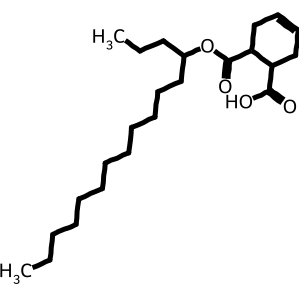 CCCCCCCCCCCCC(CCC)OC(=O)C1CC=CCC1C(=O)O